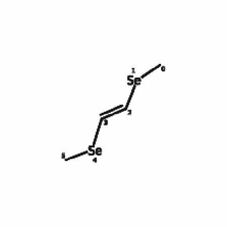 C[Se]/C=C/[Se]C